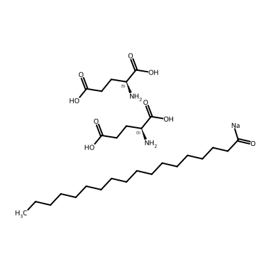 CCCCCCCCCCCCCCCCC[C](=O)[Na].N[C@@H](CCC(=O)O)C(=O)O.N[C@@H](CCC(=O)O)C(=O)O